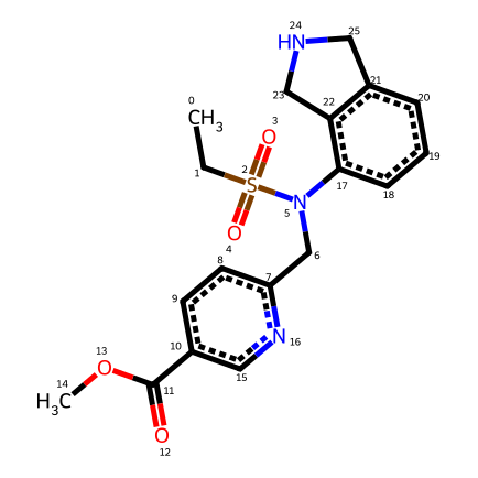 CCS(=O)(=O)N(Cc1ccc(C(=O)OC)cn1)c1cccc2c1CNC2